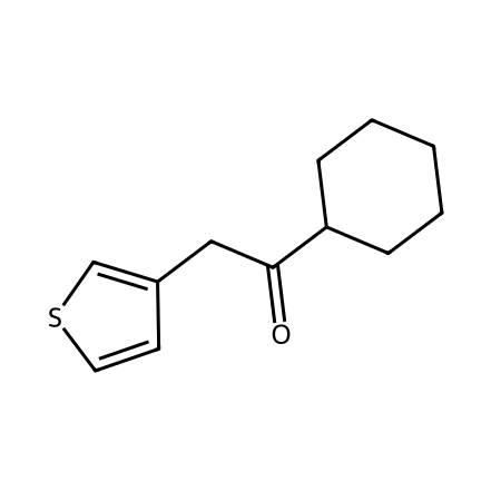 O=C(Cc1ccsc1)C1CCCCC1